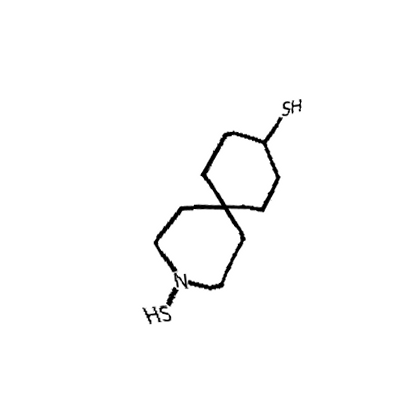 SC1CCC2(CC1)CCN(S)CC2